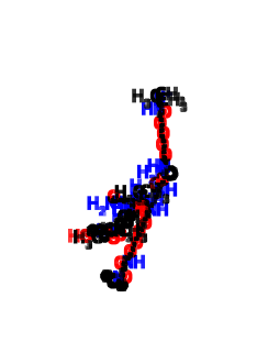 CC(C)[C@H](NC(=O)[C@@H](CCCCNC(=O)COC1CCCCC/C(NCCOCCOCCOCCOCCC(=O)NCC[N+](C)(C)C)=C\1N)NC(=O)CCOCCOCCOCCOCCNC(=O)CCC(=O)N1Cc2ccccc2C#Cc2ccccc21)C(=O)N[C@@H](CCCNC(N)=O)C(=O)Nc1ccc2c(c1)[C@@]1(C)CCC[C@](C)(C(=O)NC(=O)[C@@]3(C)CCC[C@]4(C)c5cc(O)ccc5CC[C@@H]34)C1CC2